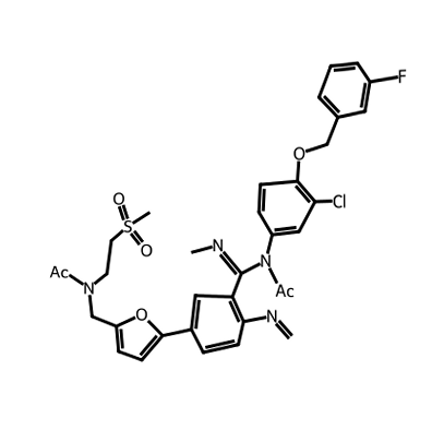 C=Nc1ccc(-c2ccc(CN(CCS(C)(=O)=O)C(C)=O)o2)cc1/C(=N\C)N(C(C)=O)c1ccc(OCc2cccc(F)c2)c(Cl)c1